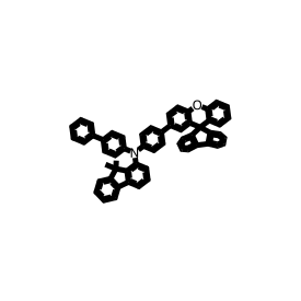 CC1(C)c2ccccc2-c2cccc(N(c3ccc(-c4ccccc4)cc3)c3ccc(-c4ccc5c(c4)C4(c6ccccc6O5)c5ccccc5-c5ccccc54)cc3)c21